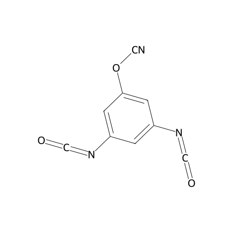 N#COc1cc(N=C=O)cc(N=C=O)c1